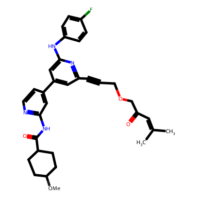 COC1CCC(C(=O)Nc2cc(-c3cc(C#CCOCC(=O)C=C(C)C)nc(Nc4ccc(F)cc4)c3)ccn2)CC1